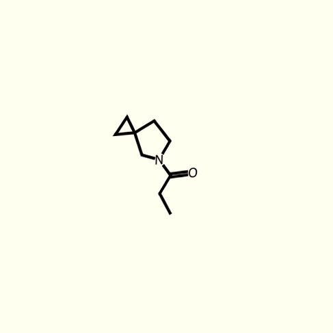 CCC(=O)N1CCC2(CC2)C1